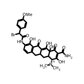 COc1ccc(C(Br)C(=O)Nc2ccc3c(c2O)C(=O)C2=C(O)C4(O)C(=O)C(C(N)=O)=C(O)[C@@H](N(C)C)C4CC2C3)cc1